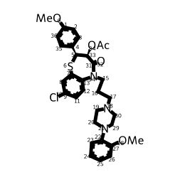 COc1ccc([C@@H]2Sc3cc(Cl)ccc3N(CCCN3CCN(c4ccccc4OC)CC3)C(=O)[C@@H]2OC(C)=O)cc1